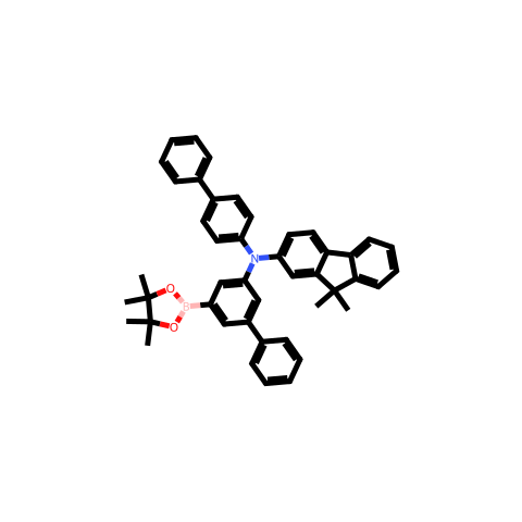 CC1(C)c2ccccc2-c2ccc(N(c3ccc(-c4ccccc4)cc3)c3cc(B4OC(C)(C)C(C)(C)O4)cc(-c4ccccc4)c3)cc21